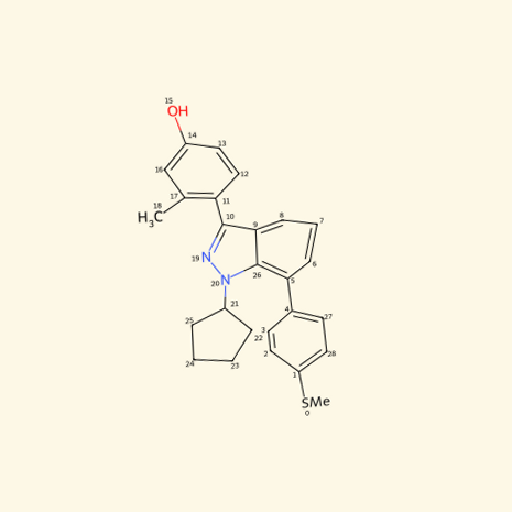 CSc1ccc(-c2cccc3c(-c4ccc(O)cc4C)nn(C4CCCC4)c23)cc1